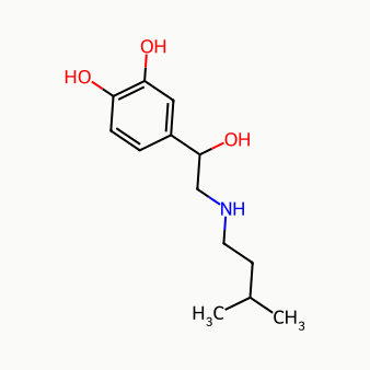 CC(C)CCNCC(O)c1ccc(O)c(O)c1